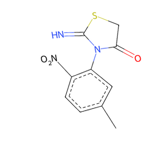 Cc1ccc([N+](=O)[O-])c(N2C(=N)SCC2=O)c1